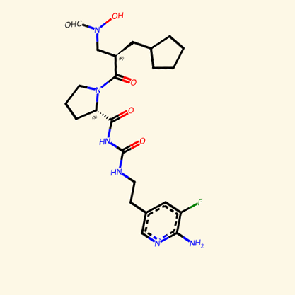 Nc1ncc(CCNC(=O)NC(=O)[C@@H]2CCCN2C(=O)[C@H](CC2CCCC2)CN(O)C=O)cc1F